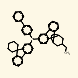 CCC1CC2CCCC(C1)C21c2ccccc2-c2cc(N(c3ccc(-c4ccccc4)cc3)c3ccc4c(c3)C3(CCCCC3)c3ccccc3-4)ccc21